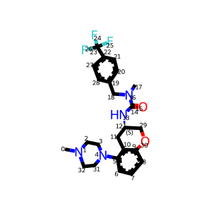 CN1CCN(c2cccc3c2C[C@H](NC(=O)N(C)Cc2ccc(C(F)(F)F)cc2)CO3)CC1